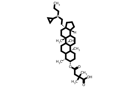 CCCN(CC[C@]12CCC[C@@H]1C1CCC3[C@@]4(C)CC[C@H](OC(=O)CC(C)(C)C(=O)O)[C@H](C)C4CC[C@@]3(C)[C@]1(C)CC2)C1CC1